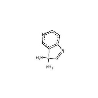 NC1(N)C=Nc2ccncc21